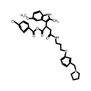 COc1ccc2[nH]c(C)c(C(CC(=O)NCCCOc3cccc(CN4CCCC4)c3)C(=O)OC(=O)c3ccc(Cl)cc3)c2c1